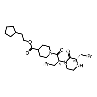 CC(C)C[C@@H]1NCCN([C@@H](CC(C)C)C(=O)N2CCC(C(=O)OCCC3CCCC3)CC2)C1=O